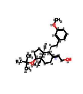 COc1cccc(CC[C@@H]2/C(=C/CO)CC[C@]3(C)[C@@H](OC(C)(C)C)CC[C@@H]23)c1